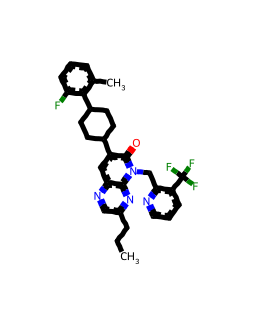 CCCc1cnc2cc(C3CCC(c4c(C)cccc4F)CC3)c(=O)n(Cc3ncccc3C(F)(F)F)c2n1